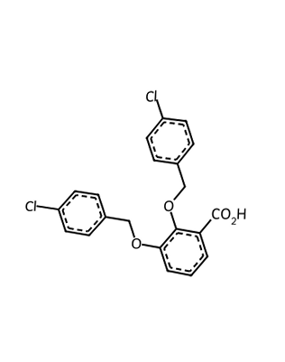 O=C(O)c1cccc(OCc2ccc(Cl)cc2)c1OCc1ccc(Cl)cc1